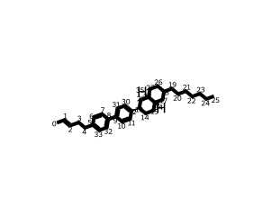 C/C=C/CCc1ccc(-c2ccc([C@@H]3CC[C@@H]4CC(CCCCCCC)CC[C@@H]4C3)cc2)cc1